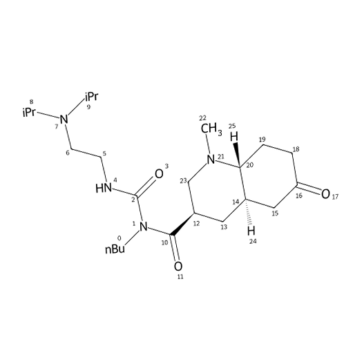 CCCCN(C(=O)NCCN(C(C)C)C(C)C)C(=O)[C@@H]1C[C@@H]2CC(=O)CC[C@H]2N(C)C1